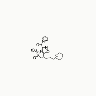 CC(C)(C)OC(=O)CC(CCCC1CCCCC1)c1nc(C(=O)n2cccc2)no1